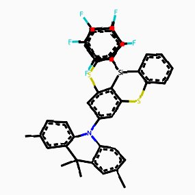 Cc1ccc2c(c1)C(C)(C)c1cc(C)ccc1N2c1cc2c3c(c1)Sc1ccccc1[Si]3(c1c(F)c(F)c(F)c(F)c1F)c1ccccc1S2